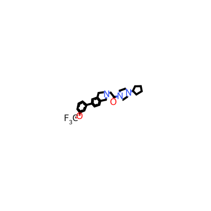 O=C(CN1CCc2cc(-c3cccc(OC(F)(F)F)c3)ccc2C1)N1CCN(C2CCCC2)CC1